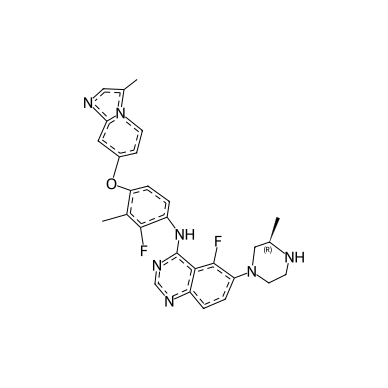 Cc1c(Oc2ccn3c(C)cnc3c2)ccc(Nc2ncnc3ccc(N4CCN[C@H](C)C4)c(F)c23)c1F